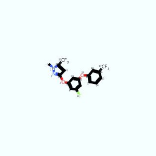 Cn1nc(Oc2cc(F)cc(Oc3cccc(C(F)(F)F)c3)c2)cc1C(F)(F)F